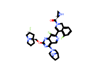 O=C([C@@H]1CN1)N1C=C(c2ncc3c(N4CC5CCC(C4)N5)nc(OC[C@@]45CCCN4C[C@H](F)C5)nc3c2F)c2c(F)cccc2C1